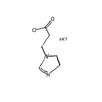 Cl.O=C(Cl)CCN1C=NCC1